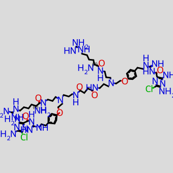 N=C(N)NCCCC[C@@H](N)C(=O)NCCCN(CCCNC(=O)CCC(=O)NCCCN(CCCNC(=O)[C@H](N)CCCCNC(=N)N)CCOc1ccc(CCNC(=N)NC(=O)c2nc(Cl)c(N)nc2N)cc1)CCOc1ccc(CCNC(=N)NC(=O)c2nc(Cl)c(N)nc2N)cc1